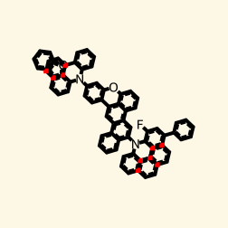 Fc1cc(-c2ccccc2)cc(-c2ccccc2)c1N(c1ccccc1-c1ccccc1)c1cc2c3cccc4c3c(cc2c2ccccc12)-c1ccc(N(c2ccccc2-c2ccccc2)c2cccc3c2oc2ccccc23)cc1O4